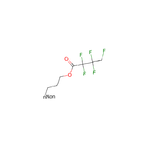 CCCCCCCCCCCCOC(=O)C(F)(F)C(F)(F)CF